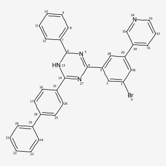 Brc1cc(C2=NC(c3ccccc3)NC(c3ccc(-c4ccccc4)cc3)=N2)cc(-c2cccnc2)c1